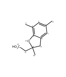 Cc1cc(C)c2c(c1)CC(C)(CC(=O)O)O2